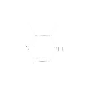 C=C1NC=CN=C1C